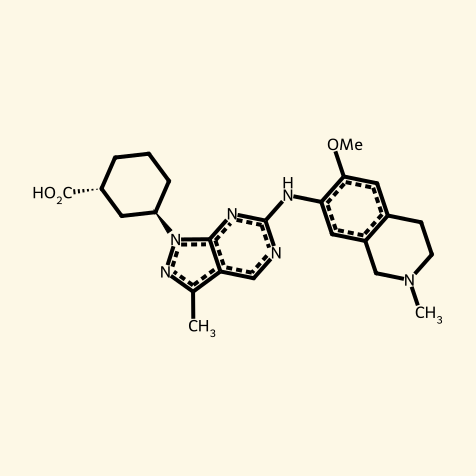 COc1cc2c(cc1Nc1ncc3c(C)nn([C@@H]4CCC[C@@H](C(=O)O)C4)c3n1)CN(C)CC2